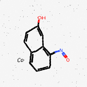 O=Nc1cccc2ccc(O)cc12.[Co]